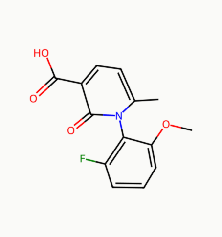 COc1cccc(F)c1-n1c(C)ccc(C(=O)O)c1=O